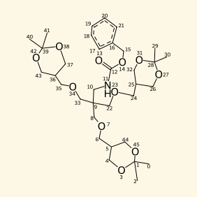 CC1(C)OCC(COCC(CNC(=O)OCc2ccccc2)(COCC2COC(C)(C)OC2)COCC2COC(C)(C)OC2)CO1